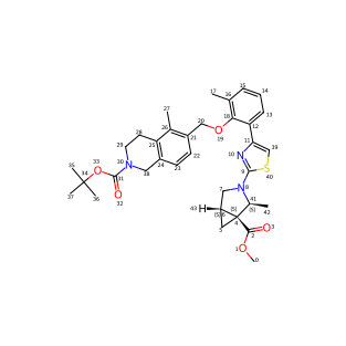 COC(=O)[C@@]12C[C@@H]1CN(c1nc(-c3cccc(C)c3OCc3ccc4c(c3C)CCN(C(=O)OC(C)(C)C)C4)cs1)[C@H]2C